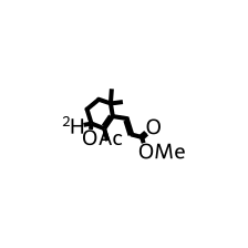 [2H]C1(OC(C)=O)CCC(C)(C)C(C=CC(=O)OC)=C1C